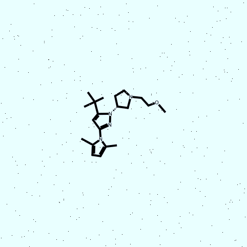 COCCN1CC[C@@H](n2nc(-n3c(C)ccc3C)cc2C(C)(C)C)C1